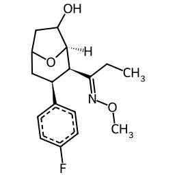 CCC(=NOC)[C@H]1[C@@H](c2ccc(F)cc2)CC2CC(O)[C@@H]1O2